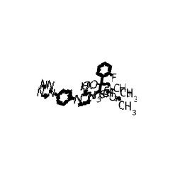 CC(C)O[Si](C)(C)C[C@@](O)(c1ccccc1F)[C@@H](C)n1ccn(-c2ccc(-n3cnnn3)cc2)c1=O